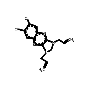 C=CCN1CN(CC=C)c2nc3cc(Cl)c(Cl)cc3nc21